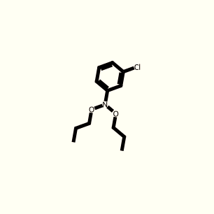 CCCON(OCCC)c1cccc(Cl)c1